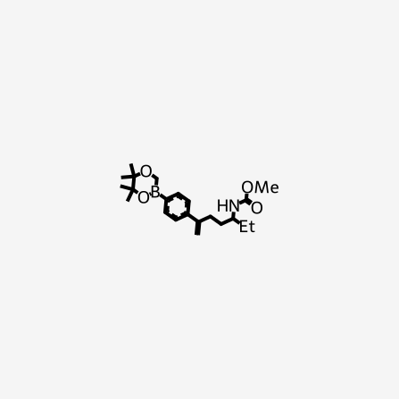 C=C(CCC(CC)NC(=O)OC)c1ccc(B2COC(C)(C)C(C)(C)O2)cc1